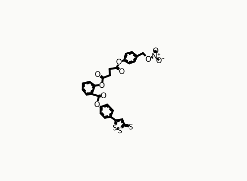 O=C(CCC(=O)Oc1ccccc1C(=O)Oc1ccc(-c2cc(=S)ss2)cc1)Oc1ccc(CO[N+](=O)[O-])cc1